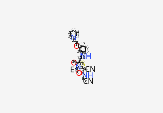 CCn1c(=C(C#N)C(=O)NCC#N)sc(=CNc2cccc(OCCN3CCCCC3)c2)c1=O